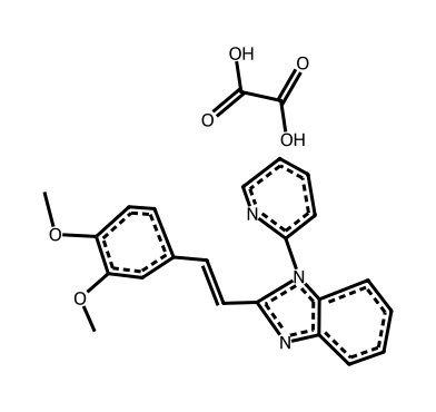 COc1ccc(C=Cc2nc3ccccc3n2-c2ccccn2)cc1OC.O=C(O)C(=O)O